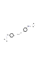 CCCCS(=O)(=O)O/N=C(/c1ccc(OCCCOc2ccc(/C(=N\OS(=O)(=O)CCCC)C(F)(F)F)cc2)cc1)C(F)(F)F